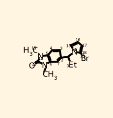 CCC(c1ccc2c(c1)n(C)c(=O)n2C)n1cccc1Br